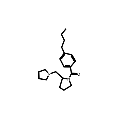 CCCCc1ccc(C(=O)N2CCCC2CN2CCCC2)cc1